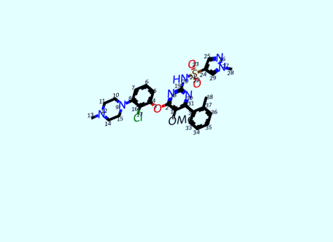 COc1c(Oc2cccc(N3CCN(C)CC3)c2Cl)nc(NS(=O)(=O)c2cnn(C)c2)nc1-c1ccccc1C